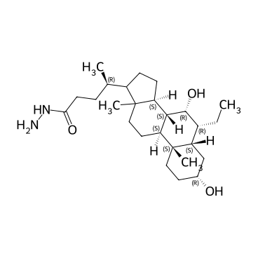 CC[C@H]1[C@@H](O)[C@H]2[C@@H]3CCC([C@H](C)CCC(=O)NN)C3(C)CC[C@@H]2[C@@]2(C)CC[C@@H](O)C[C@@H]12